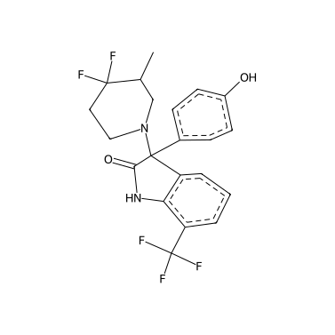 CC1CN(C2(c3ccc(O)cc3)C(=O)Nc3c(C(F)(F)F)cccc32)CCC1(F)F